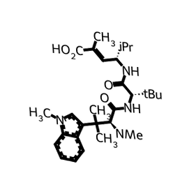 CN[C@H](C(=O)N[C@H](C(=O)N[C@H](/C=C(\C)C(=O)O)C(C)C)C(C)(C)C)C(C)(C)c1cn(C)c2ccccc12